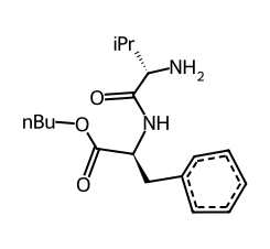 CCCCOC(=O)[C@H](Cc1ccccc1)NC(=O)[C@@H](N)C(C)C